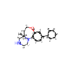 c1ccc(-c2ccc3c(c2)OCC[C@H]2CNCCN32)cc1